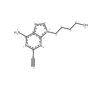 C#Cc1nc(N)c2ncn(CCCCO)c2n1